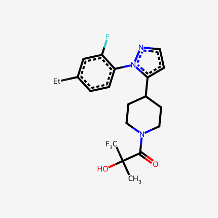 CCc1ccc(-n2nccc2C2CCN(C(=O)C(C)(O)C(F)(F)F)CC2)c(F)c1